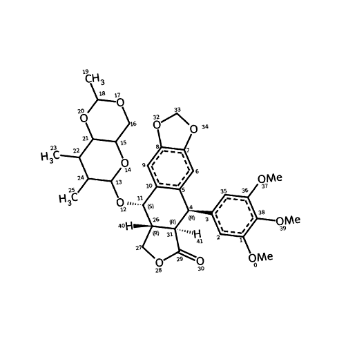 COc1cc([C@@H]2c3cc4c(cc3[C@@H](OC3OC5COC(C)OC5C(C)C3C)[C@H]3COC(=O)[C@H]23)OCO4)cc(OC)c1OC